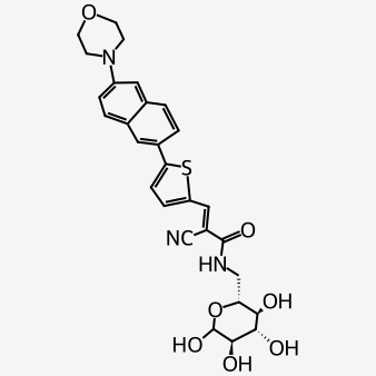 N#C/C(=C\c1ccc(-c2ccc3cc(N4CCOCC4)ccc3c2)s1)C(=O)NC[C@H]1OC(O)[C@H](O)[C@@H](O)[C@@H]1O